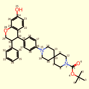 CC(C)(C)OC(=O)N1CCC2(CC1)CCN(c1ccc(C3c4ccc(O)cc4OCC3c3ccccc3)cc1)CC2